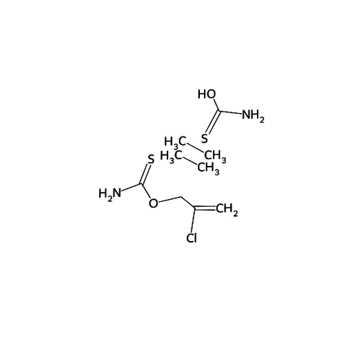 C=C(Cl)COC(N)=S.CC.CC.NC(O)=S